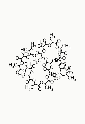 CCN[C@H]1C[C@H](C)S(=O)(=O)c2sc(S(=O)(=O)NC(=O)C(C)OC(=O)C(C)OC(=O)C(C)OC(=O)C(C)OC(=O)C(C)OC(=O)C(C)OC(=O)C(C)OC(=O)C(C)OC(=O)C(C)OC(=O)C(C)OC(=O)C(C)OC(=O)C(C)OC(=O)C(C)O)cc21